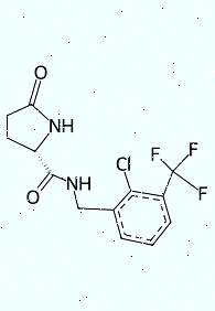 O=C1CC[C@@H](C(=O)NCc2cccc(C(F)(F)F)c2Cl)N1